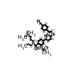 CCCN(CCCN(C)C)C(=O)c1ccc(-c2ccc3ncc(-c4ccc(C#N)cc4)n3n2)cc1NC(C)=O